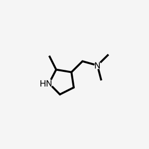 CC1NCCC1CN(C)C